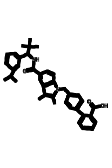 Cc1c(C)n(Cc2ccc(-c3ccccc3C(=O)O)cc2)c2ccc(C(=O)NC(c3cccc(C(C)C)c3)C(C)(C)C)cc12